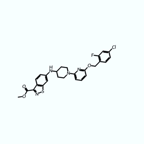 COC(=O)c1nsc2cc(NC3CCN(c4cccc(OCc5ccc(Cl)cc5F)n4)CC3)ccc12